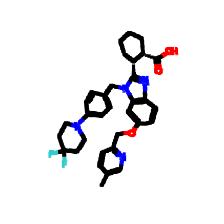 Cc1ccc(COc2ccc3nc([C@@H]4CCCC[C@@H]4C(=O)O)n(Cc4ccc(N5CCC(F)(F)CC5)cc4)c3c2)nc1